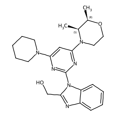 C[C@H]1OCCN(c2cc(N3CCCCC3)nc(-n3c(CO)nc4ccccc43)n2)[C@H]1C